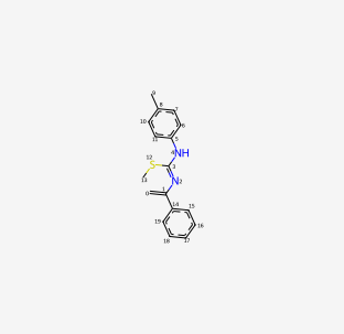 C=C(/N=C(/Nc1ccc(C)cc1)SC)c1ccccc1